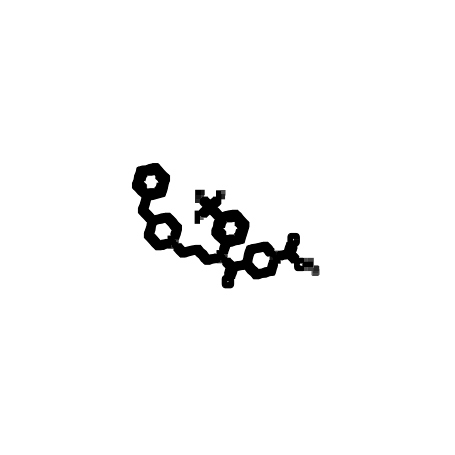 CC(=O)N1CCC(C(=O)N(CCCN2CCC(Cc3ccccc3)CC2)c2cccc(C(F)(F)F)c2)CC1